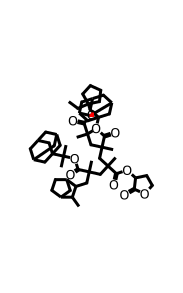 CCC1(OC(=O)C(C)(C)CC(C)(CC(C)(CC(C)(CC2C3CCC(C3)C2C)C(=O)OC(C)(C)C23CC4CC(CC(C4)C2)C3)C(=O)OC2CCOC2=O)C(=O)OC23CC4CC(CC(C4)C2)C3)CCCC1